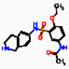 CCOc1ccc(NC(C)=O)cc1S(=O)(=O)Nc1ccc2c(c1)CCNC2